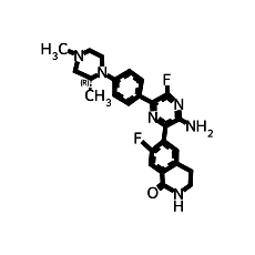 C[C@@H]1CN(C)CCN1c1ccc(-c2nc(-c3cc4c(cc3F)C(=O)NCC4)c(N)nc2F)cc1